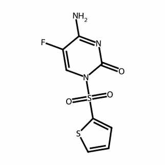 Nc1nc(=O)n(S(=O)(=O)c2cccs2)cc1F